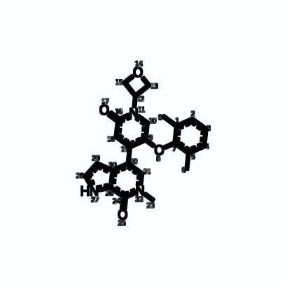 Cc1cccc(C)c1Oc1cn(C2COC2)c(=O)cc1-c1cn(C)c(=O)c2[nH]ccc12